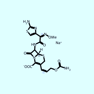 CO/N=C(\C(=O)NC1C(=O)N2C(C(=O)[O-])=C(/C=C\COC(N)=O)CS[C@@H]12)c1csc(N)n1.[Na+]